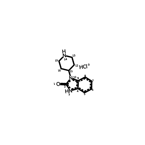 Cl.O=c1[nH]c2ccccc2n1C1CCNCC1